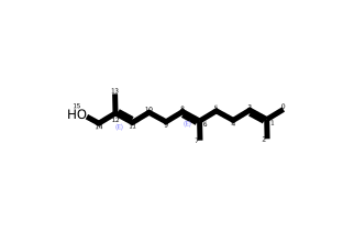 CC(C)=CCC/C(C)=C/CC/C=C(\C)CO